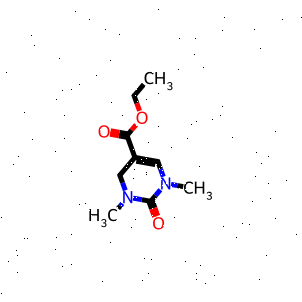 CCOC(=O)C1=CN(C)C(=O)N(C)C1